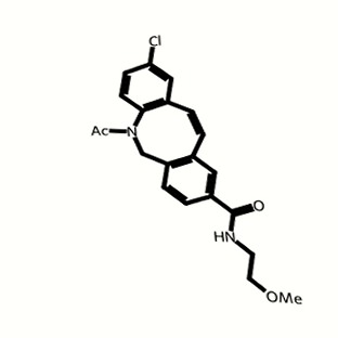 COCCNC(=O)c1ccc2c(c1)C=Cc1cc(Cl)ccc1N(C(C)=O)C2